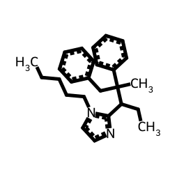 CCCCCn1ccnc1C(CC)C(C)(Cc1ccccc1)c1ccccc1